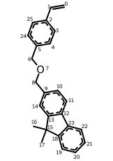 C=Cc1ccc(COCc2ccc3c(c2)C(C)(C)c2ccccc2-3)cc1